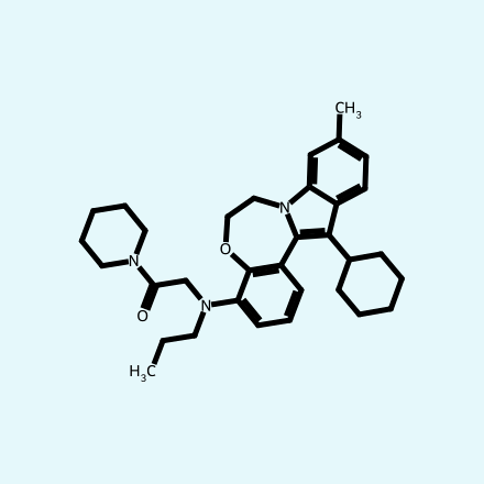 CCCN(CC(=O)N1CCCCC1)c1cccc2c1OCCn1c-2c(C2CCCCC2)c2ccc(C)cc21